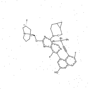 CC(C)[Si](C#Cc1c(F)ccc2cc(O)cc(-c3ncc4c(N5CCC6CC6CC5)nc(OC[C@@]56CCCN5C[C@H](F)C6)nc4c3F)c12)(C(C)C)C(C)C